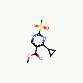 COC(=O)c1cnc(S(C)(=O)=O)nc1C1CC1